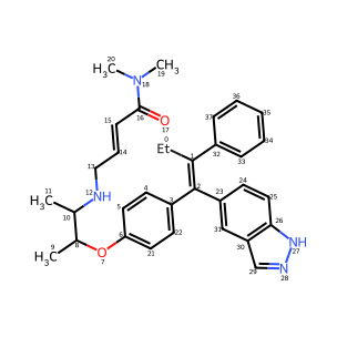 CCC(=C(c1ccc(OC(C)C(C)NCC=CC(=O)N(C)C)cc1)c1ccc2[nH]ncc2c1)c1ccccc1